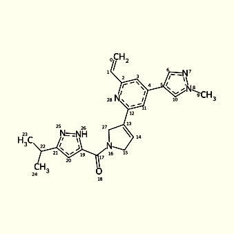 C=Cc1cc(-c2cnn(C)c2)cc(C2=CCN(C(=O)c3cc(C(C)C)n[nH]3)C2)n1